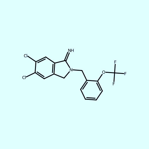 N=C1c2cc(Cl)c(Cl)cc2CN1Cc1ccccc1OC(F)(F)F